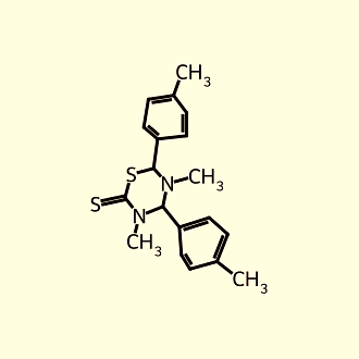 Cc1ccc(C2SC(=S)N(C)C(c3ccc(C)cc3)N2C)cc1